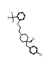 O=CC1(Cc2ccc(Cl)cc2)CCN(CCOc2ccccc2C(F)(F)F)CC1